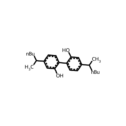 CCCCC(C)c1ccc(-c2ccc(C(C)CCCC)cc2O)c(O)c1